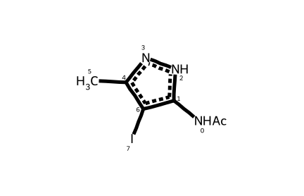 CC(=O)Nc1[nH]nc(C)c1I